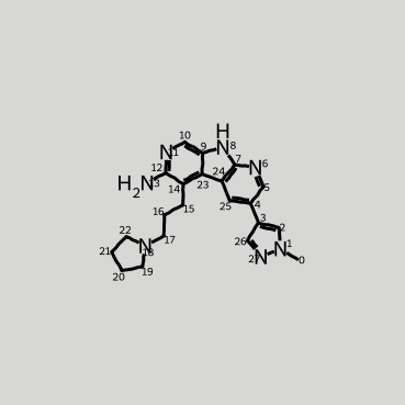 Cn1cc(-c2cnc3[nH]c4cnc(N)c(CCCN5CCCC5)c4c3c2)cn1